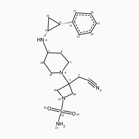 N#CCC1(N2CCC(N[C@@H]3C[C@@H]3c3ccccc3)CC2)CN(S(N)(=O)=O)C1